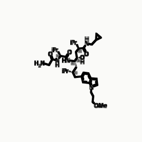 COCCCn1ccc2ccc(C[C@@H](C[C@H](NC(=O)[C@@H](NC(=O)CN)C(C)C)[C@@H](O)C[C@H](C(=O)NCC3CC3)C(C)C)C(C)C)cc21